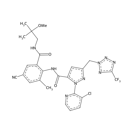 COC(C)(C)CNC(=O)c1cc(C#N)cc(C)c1NC(=O)c1cc(Cn2nnc(C(F)(F)F)n2)nn1-c1ncccc1Cl